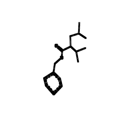 CC(C)CC(C(=O)OCc1ccccc1)C(C)C